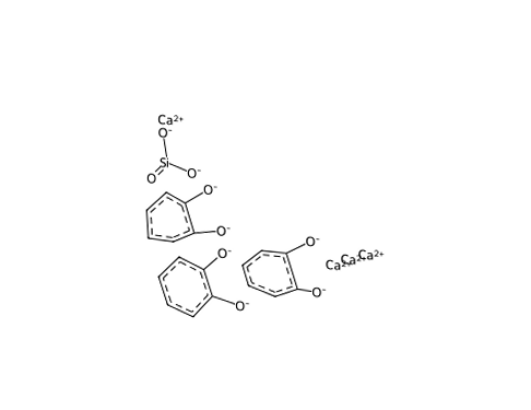 O=[Si]([O-])[O-].[Ca+2].[Ca+2].[Ca+2].[Ca+2].[O-]c1ccccc1[O-].[O-]c1ccccc1[O-].[O-]c1ccccc1[O-]